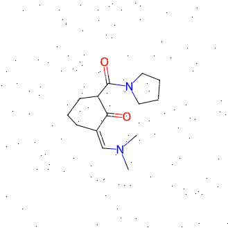 CN(C)/C=C1/CCCC(C(=O)N2CCCC2)C1=O